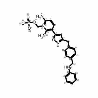 Nc1ccc(-c2cc(Cc3ccc(CNc4ccccc4)cc3)no2)c(N)[n+]1COP(=O)([O-])O